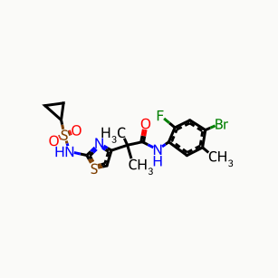 Cc1cc(NC(=O)C(C)(C)c2csc(NS(=O)(=O)C3CC3)n2)c(F)cc1Br